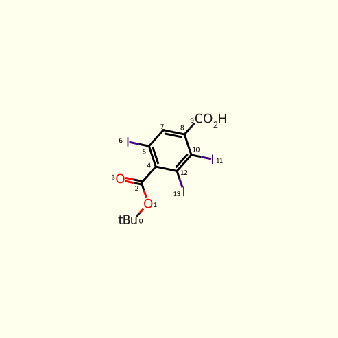 CC(C)(C)OC(=O)c1c(I)cc(C(=O)O)c(I)c1I